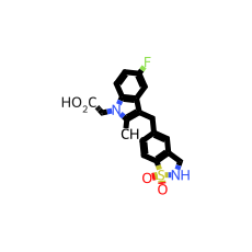 Cc1c(Cc2ccc3c(c2)CNS3(=O)=O)c2cc(F)ccc2n1CC(=O)O